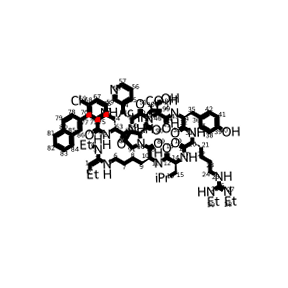 CC/C=C(/NCC)NCCCC[C@H](NC(=O)[C@H](CC(C)C)NC(=O)[C@@H](CCCCN/C(=N/CC)NCC)NC(=O)[C@H](Cc1ccc(O)cc1)NC(=O)[C@H](CO)NC(=O)[C@@H](Cc1cccnc1)NC(=O)[C@@H](Cc1ccc(Cl)cc1)NC(=O)[C@@H](Cc1ccc2ccccc2c1)NC(C)=O)C(=O)N1CCC[C@H]1C(=O)N[C@H](C)C(=O)O